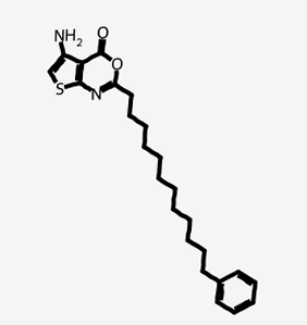 Nc1csc2nc(CCCCCCCCCCCCc3ccccc3)oc(=O)c12